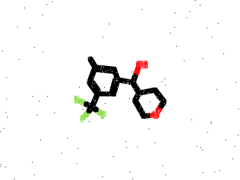 Cc1cc(C(O)C2CCOCC2)cc(C(F)(F)F)c1